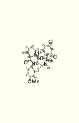 COc1ccc(-n2c(C(C)N(C)S(=O)(=O)c3c(Cl)cc(Cl)cc3Cl)nc3cccc(C)c3c2=O)cc1